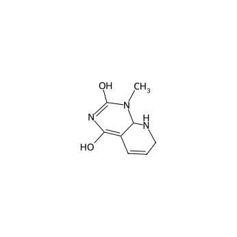 CN1C(O)=NC(O)=C2C=CCNC21